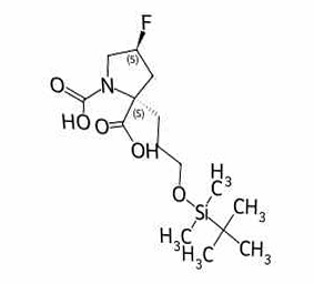 CC(C)(C)[Si](C)(C)OCCC[C@@]1(C(=O)O)C[C@H](F)CN1C(=O)O